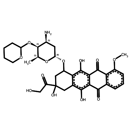 COc1cccc2c1C(=O)c1c(O)c3c(c(O)c1C2=O)CC(O)(C(=O)CO)CC3O[C@H]1C[C@H](N)[C@H](OC2CCCCO2)[C@H](C)O1